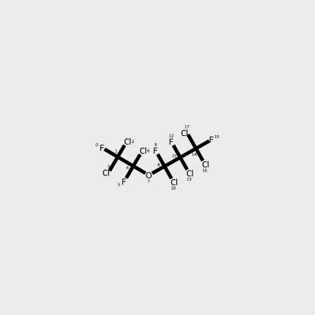 FC(Cl)(Cl)C(F)(Cl)OC(F)(Cl)C(F)(Cl)C(F)(Cl)Cl